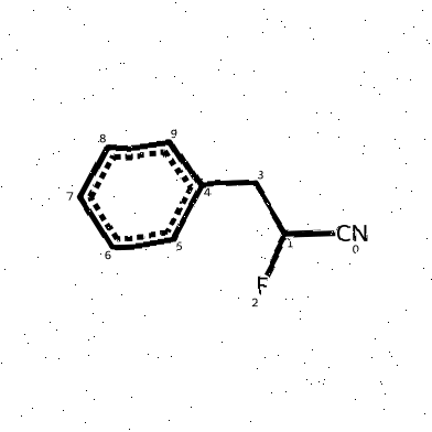 N#C[C](F)Cc1ccccc1